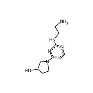 NCCNc1nccc(N2CCC(O)C2)n1